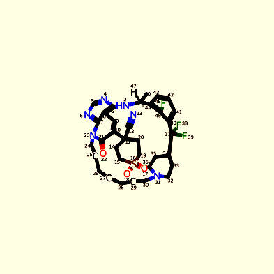 C[C@H]1Nc2ncnc3c2cc(C2(C#N)CCS(=O)(=O)CC2)c(=O)n3CCCCCCCN2CCC(CC2)C(F)(F)c2cccc1c2F